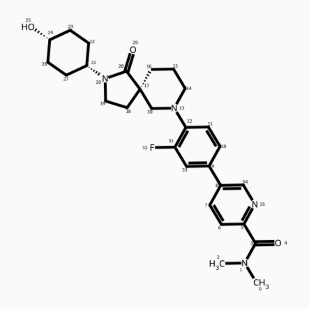 CN(C)C(=O)c1ccc(-c2ccc(N3CCC[C@@]4(CCN([C@H]5CC[C@@H](O)CC5)C4=O)C3)c(F)c2)cn1